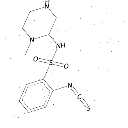 CN1CCNCC1NS(=O)(=O)c1ccccc1N=C=S